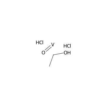 CCO.Cl.Cl.[O]=[V]